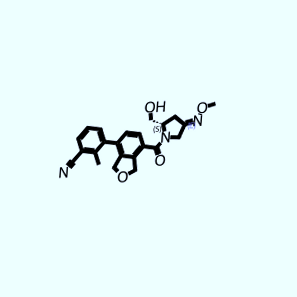 CO/N=C1\C[C@@H](CO)N(C(=O)c2ccc(-c3cccc(C#N)c3C)c3c2COC3)C1